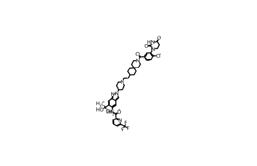 CC(C)(O)c1cc2nn(C3CCN(CCC4CCC5(CC4)CCN(C(=O)c4ccc(Cl)c(N6CCC(=O)NC6=O)c4)CC5)CC3)cc2cc1NC(=O)c1cccc(C(F)(F)F)n1